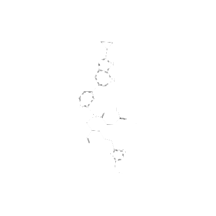 C=CC(CCCc1noc(C(C)(C)C)n1)CN(C(=O)CCC(=C)F)c1cc(-c2cnc3nc(C4CC4)sc3c2)ccn1